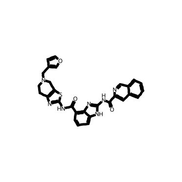 O=C(Nc1nc2c(C(=O)Nc3nc4c(s3)CN(Cc3ccoc3)CC4)cccc2[nH]1)c1cc2ccccc2cn1